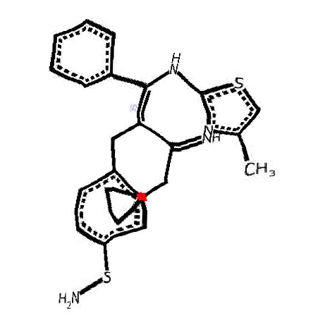 Cc1csc(N/C(=C(/Cc2ccc(SN)cc2)C(=N)CC2CC2)c2ccccc2)n1